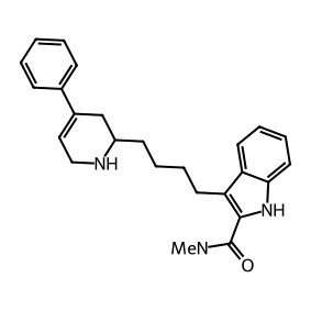 CNC(=O)c1[nH]c2ccccc2c1CCCCC1CC(c2ccccc2)=CCN1